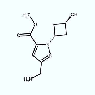 COC(=O)c1cc(CN)nn1[C@H]1C[C@H](O)C1